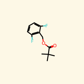 CC(C)(C)C(=O)OCc1c(F)cccc1F